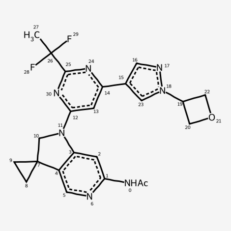 CC(=O)Nc1cc2c(cn1)C1(CC1)CN2c1cc(-c2cnn(C3COC3)c2)nc(C(C)(F)F)n1